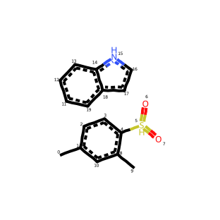 Cc1ccc([SH](=O)=O)c(C)c1.c1ccc2[nH]ccc2c1